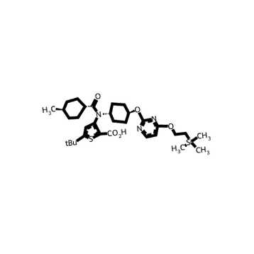 CC(C)(C)c1cc(N(C(=O)[C@H]2CC[C@H](C)CC2)[C@H]2CC[C@H](Oc3nccc(OCC[Si](C)(C)C)n3)CC2)c(C(=O)O)s1